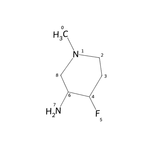 CN1CCC(F)C(N)C1